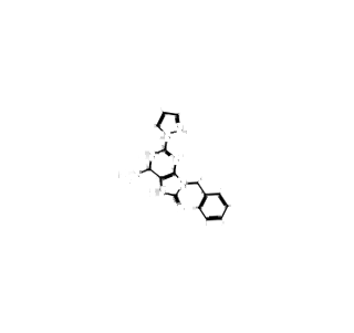 NC1NC(n2cccn2)=Nc2c1[nH]c(=O)n2Cc1ccccc1